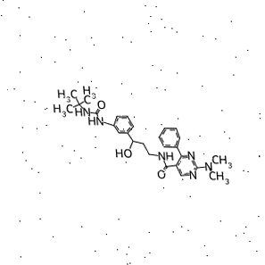 CN(C)c1ncc(C(=O)NCCC(O)c2cccc(NC(=O)NC(C)(C)C)c2)c(-c2ccccc2)n1